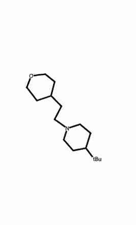 CC(C)(C)C1CCN(CCC2CCOCC2)CC1